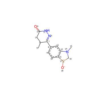 CC1CC(=O)NN=C1c1ccc2c(c1)N(C)C[S+]2[O-]